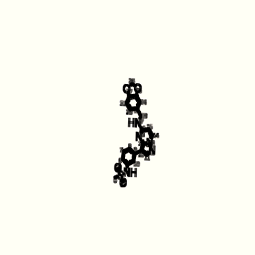 CS(=O)(=O)Nc1cccc(-c2cnn3ccc(NCc4ccc5c(c4)OCO5)nc23)c1